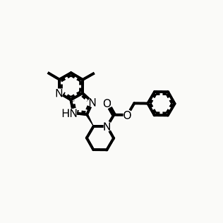 Cc1cc(C)c2nc([C@@H]3CCCCN3C(=O)OCc3ccccc3)[nH]c2n1